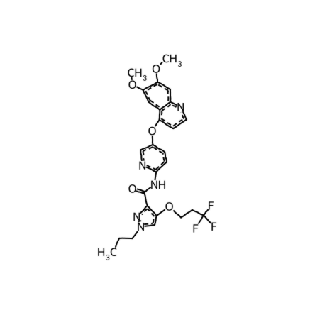 CCCn1cc(OCCC(F)(F)F)c(C(=O)Nc2ccc(Oc3ccnc4cc(OC)c(OC)cc34)cn2)n1